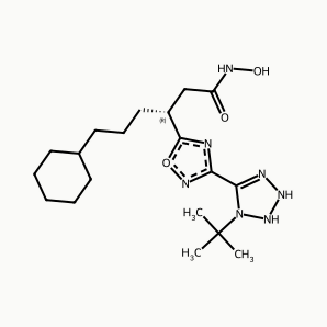 CC(C)(C)N1NNN=C1c1noc([C@H](CCCC2CCCCC2)CC(=O)NO)n1